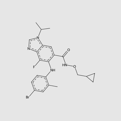 Cc1cc(Br)ccc1Nc1c(C(=O)NOCC2CC2)cc2c(ncn2C(C)C)c1F